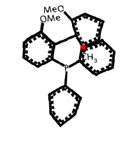 COc1cccc(C)c1-c1c(OC)cccc1P(c1ccccc1)c1ccccc1